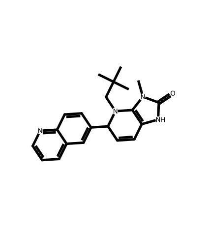 Cn1c2c([nH]c1=O)C=CC(c1ccc3ncccc3c1)N2CC(C)(C)C